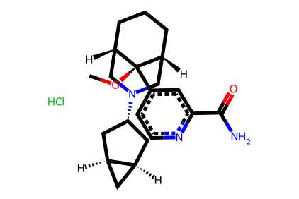 CO[C@]1(c2ccnc(C(N)=O)c2)[C@@H]2CCC[C@H]1CN([C@@H]1C[C@H]3C[C@H]3C1)C2.Cl